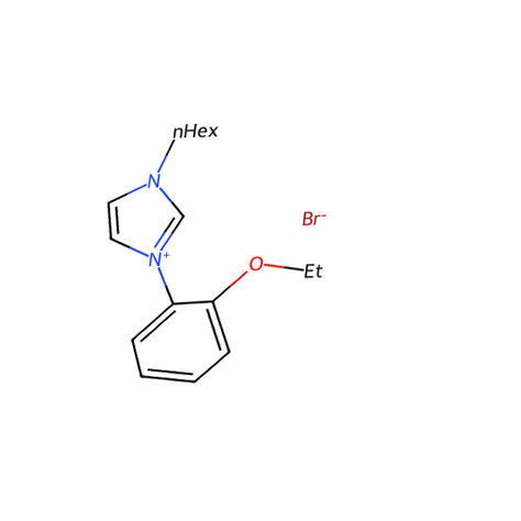 CCCCCCn1cc[n+](-c2ccccc2OCC)c1.[Br-]